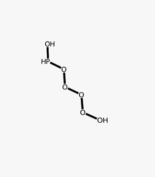 OOOOOPO